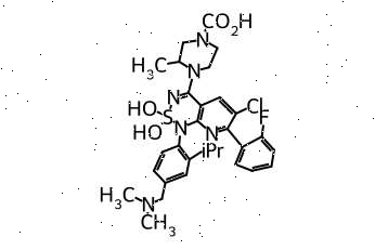 CC(C)c1cc(CN(C)C)ccc1N1c2nc(-c3ccccc3F)c(Cl)cc2C(N2CCN(C(=O)O)CC2C)=NS1(O)O